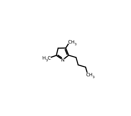 CCCCC1=C(C)CC(C)=N1